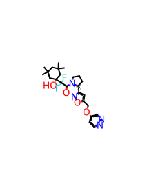 CC1(C)CC(C)(C)CC(O)(C(F)(F)C(=O)N2CCC[C@H]2c2cc(COc3ccnnc3)on2)C1